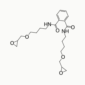 O=C(NCCCCOCC1CO1)c1ccccc1C(=O)NCCCCOCC1CO1